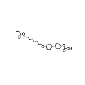 C=CC(=O)OCCCCCCCCOc1ccc(-c2ccc(OC(=O)O)cc2)cc1